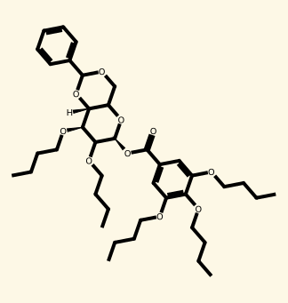 CCCCOc1cc(C(=O)O[C@@H]2OC3COC(c4ccccc4)O[C@H]3[C@H](OCCCC)C2OCCCC)cc(OCCCC)c1OCCCC